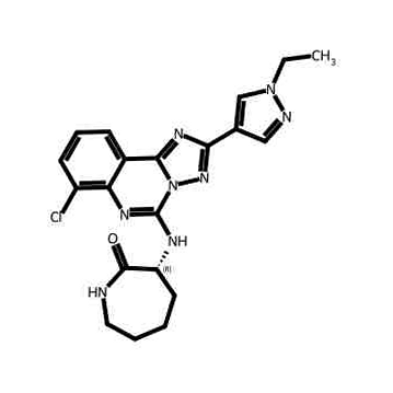 CCn1cc(-c2nc3c4cccc(Cl)c4nc(N[C@@H]4CCCCNC4=O)n3n2)cn1